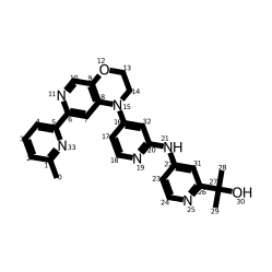 Cc1cccc(-c2cc3c(cn2)OCCN3c2ccnc(Nc3ccnc(C(C)(C)O)c3)c2)n1